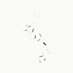 CN(CC#Cc1ccc2c(c1)CCn1c-2cc(OCC2COCCO2)nc1=O)Cc1ccccc1